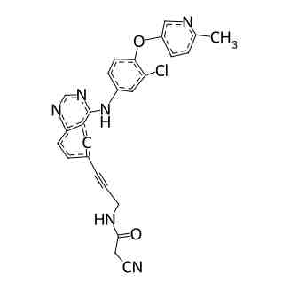 Cc1ccc(Oc2ccc(Nc3ncnc4ccc(C#CCNC(=O)CC#N)cc34)cc2Cl)cn1